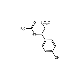 CCOC(=O)CC(NC(=O)C(F)(F)F)c1ccc(O)cc1